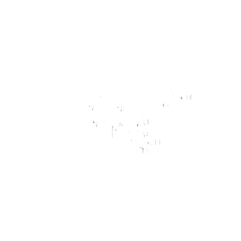 CCCSc1nc(Cl)c(N)c(N[C@@H]2C[C@H](OCCOC(C)=O)[C@H]3OC(C)(C)OC23)n1